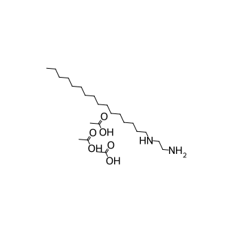 CC(=O)O.CC(=O)O.CC(=O)O.CCCCCCCCCCCCCCCCNCCN